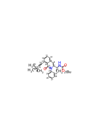 CC(NC(=O)OC(C)(C)C)c1cc2cccc(C#C[Si](C)(C)C)c2c(=O)n1-c1ccccc1